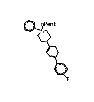 CCCCC[Si]1(c2ccccc2)CCC(C2=CC=C(c3ccc(F)cc3)CC2)CC1